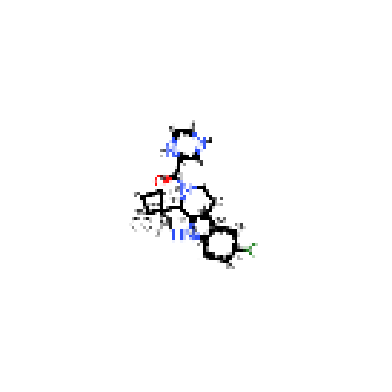 O=C(c1cnccn1)N1CCc2c([nH]c3ccc(Cl)cc23)C1C1(C(=O)O)CCC1